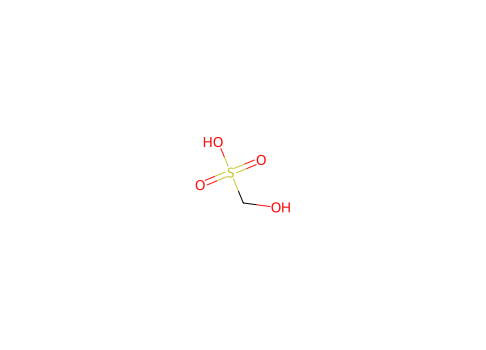 O=S(=O)(O)CO